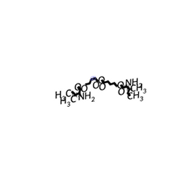 CC[C@H](C)[C@H](N)C(=O)OCC/C=C\C(=O)OC(=O)CCCCOC(=O)[C@@H](N)[C@@H](C)CC